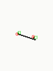 CCC(CCCCCCCCCCCCCC(=O)Cl)C(=O)Cl